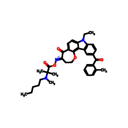 CCCCCN(C)C(C)(C)C(=O)O/N=C1\CCOc2c(ccc3c2c2cc(C(=O)c4ccccc4C)ccc2n3CC)C1=O